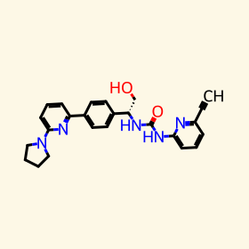 C#Cc1cccc(NC(=O)N[C@@H](CO)c2ccc(-c3cccc(N4CCCC4)n3)cc2)n1